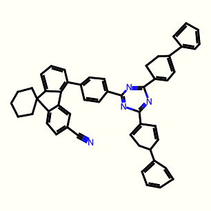 N#Cc1ccc2c(c1)-c1c(-c3ccc(-c4nc(C5=CCC(c6ccccc6)C=C5)nc(C5=CC=C(c6ccccc6)CC5)n4)cc3)cccc1C21CCCCC1